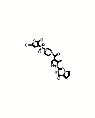 Cc1c(C(=O)N2CCN(S(=O)(=O)c3cc(Cl)sc3Cl)CC2)cnn1-c1nn2cccc2c(=O)[nH]1